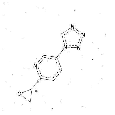 c1cc([C@@H]2CO2)ncc1-n1cnnn1